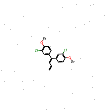 C=CC=C(c1ccc(OCC)c(Cl)c1)c1ccc(OCC)c(Cl)c1